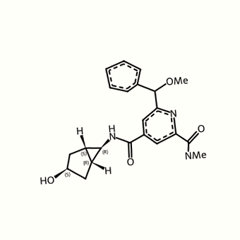 CNC(=O)c1cc(C(=O)N[C@H]2[C@@H]3C[C@@H](O)C[C@@H]32)cc(C(OC)c2ccccc2)n1